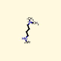 CCCNCCCCN(C)C